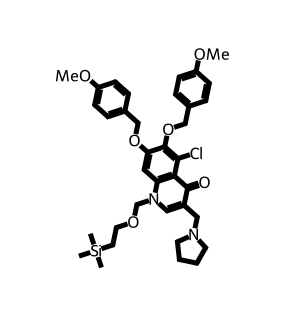 COc1ccc(COc2cc3c(c(Cl)c2OCc2ccc(OC)cc2)c(=O)c(CN2CCCC2)cn3COCC[Si](C)(C)C)cc1